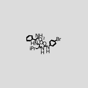 CC(C)C[C@H](NC(=O)Nc1ccc(Br)cc1)C(=O)N[C@H](C(N)=O)c1ccccc1